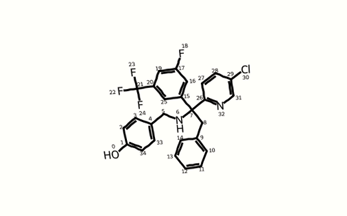 Oc1ccc(CNC(Cc2ccccc2)(c2cc(F)cc(C(F)(F)F)c2)c2ccc(Cl)cn2)cc1